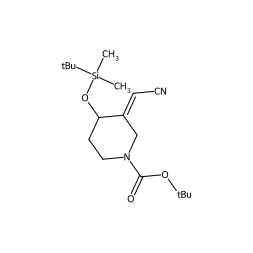 CC(C)(C)OC(=O)N1CCC(O[Si](C)(C)C(C)(C)C)C(=CC#N)C1